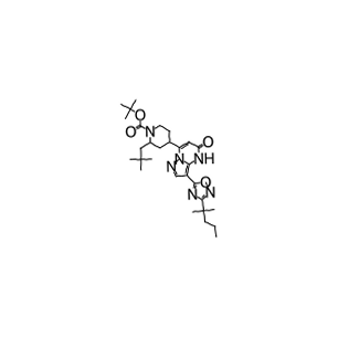 CCCC(C)(C)c1noc(-c2cnn3c(C4CCN(C(=O)OC(C)(C)C)C(CC(C)(C)C)C4)cc(=O)[nH]c23)n1